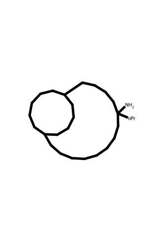 CCCC1(N)CCCCCCCCC2CCCCCC(CCCC2)CCCC1